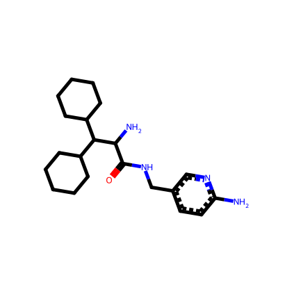 Nc1ccc(CNC(=O)C(N)C(C2CCCCC2)C2CCCCC2)cn1